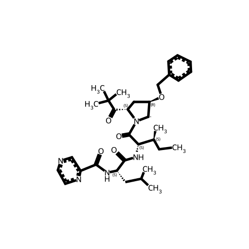 CC[C@H](C)[C@H](NC(=O)[C@H](CC(C)C)NC(=O)c1cnccn1)C(=O)N1[CH][C@H](OCc2ccccc2)C[C@H]1C(=O)C(C)(C)C